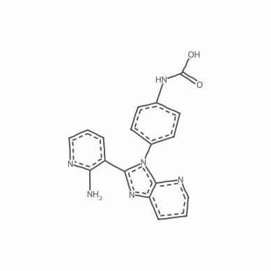 Nc1ncccc1-c1nc2cccnc2n1-c1ccc(NC(=O)O)cc1